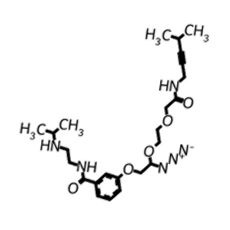 CC(C)C#CCNC(=O)COCCOC(COc1cccc(C(=O)NCCNC(C)C)c1)N=[N+]=[N-]